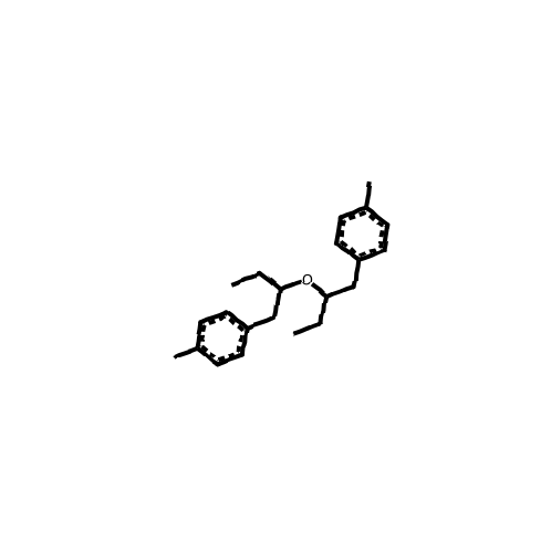 CCC(Cc1ccc(C)cc1)OC(CC)Cc1ccc(C)cc1